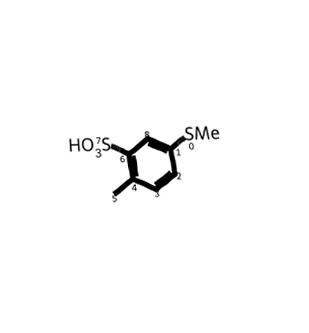 CSc1ccc(C)c(S(=O)(=O)O)c1